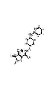 CN1CC(C(=O)NC[C@H]2CC[C@H](Nc3ccccn3)CC2)=C(O)C1=O